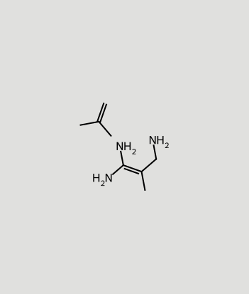 C=C(C)C.CC(CN)=C(N)N